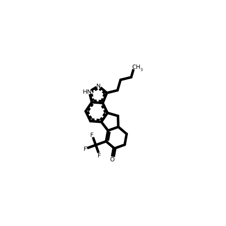 CCCCc1n[nH]c2ccc3c(c12)CC1CCC(=O)C(C(F)(F)F)=C31